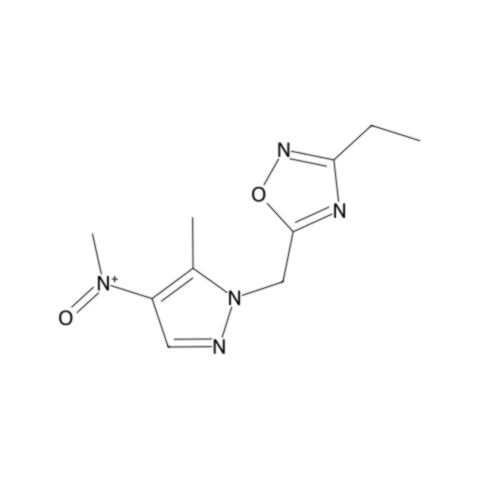 CCc1noc(Cn2ncc([N+](C)=O)c2C)n1